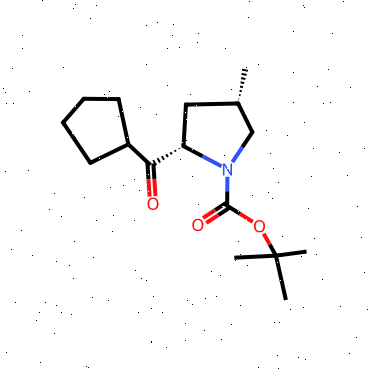 C[C@H]1C[C@@H](C(=O)C2CCCC2)N(C(=O)OC(C)(C)C)C1